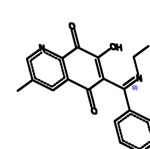 CC/N=C(\C1=C(O)C(=O)c2ncc(C)cc2C1=O)c1ccccc1